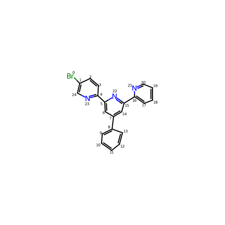 Brc1ccc(-c2cc(-c3ccccc3)cc(-c3ccccn3)n2)nc1